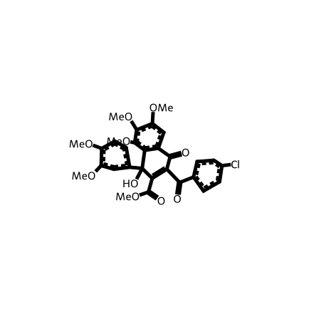 COC(=O)C1=C(C(=O)c2ccc(Cl)cc2)C(=O)c2cc(OC)c(OC)c(OC)c2C1(O)c1ccc(OC)c(OC)c1